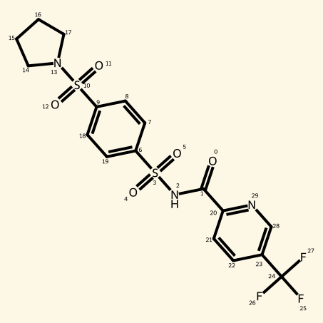 O=C(NS(=O)(=O)c1ccc(S(=O)(=O)N2CCCC2)cc1)c1ccc(C(F)(F)F)cn1